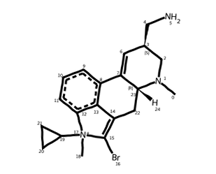 CN1C[C@H](CN)C=C2c3cccc4c3C(=C(Br)[N+]4(C)C3CC3)C[C@H]21